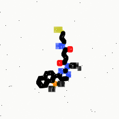 CCP(CC)c1c(-c2ccnc(N(C)C(=O)CCC(=O)NCCCS)n2)ccc2ccccc12